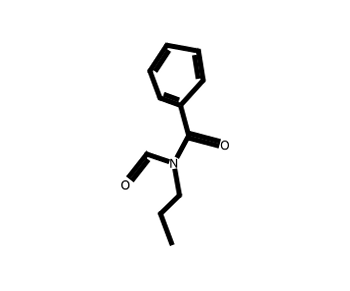 CCCN([C]=O)C(=O)c1ccccc1